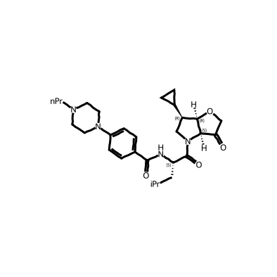 CCCN1CCN(c2ccc(C(=O)N[C@@H](CC(C)C)C(=O)N3C[C@@H](C4CC4)[C@H]4OCC(=O)[C@H]43)cc2)CC1